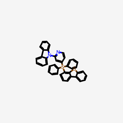 c1ccc(S(c2ccccc2)(c2ccnc(-n3c4ccccc4c4ccccc43)c2)c2cccc3c2sc2ccccc23)cc1